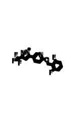 Cn1nc(C(F)(F)F)cc1-c1ccc(OCc2c(F)cccc2F)nc1